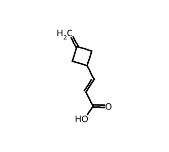 C=C1CC(/C=C/C(=O)O)C1